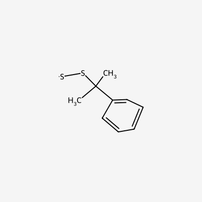 CC(C)(S[S])c1ccccc1